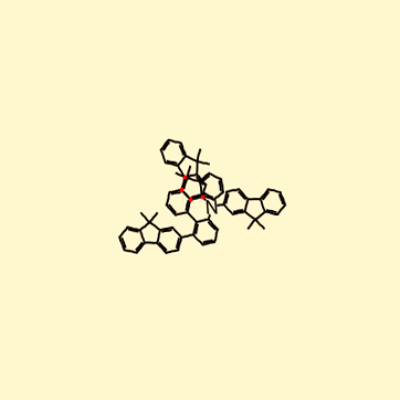 CC1(C)c2ccccc2-c2ccc(-c3cccc(N(c4ccc5c(c4)C(C)(C)c4ccccc4-5)c4ccc5c(c4)C(C)(C)c4ccccc4-5)c3-c3cccc4c3-c3ccccc3C4(C)C)cc21